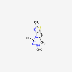 Cc1nc2c(cc(C)n2/C(=N\NC=O)C(C)C)s1